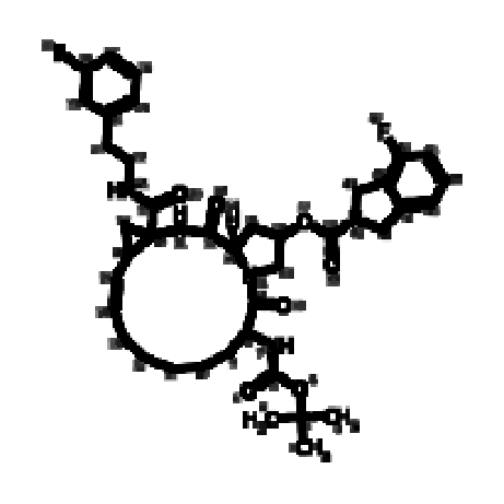 CC(C)(C)OC(=O)NC1CCCCC/C=C\C2CC2(C(=O)NCCc2cccc(F)c2)NC(=O)[C@@H]2CC(OC(=O)N3Cc4cccc(F)c4C3)CN2C1=O